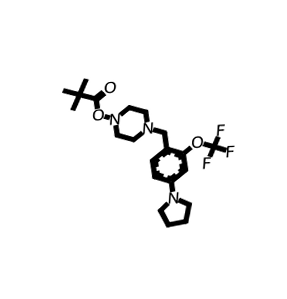 CC(C)(C)C(=O)ON1CCN(Cc2ccc(N3CCCC3)cc2OC(F)(F)F)CC1